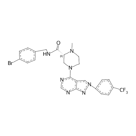 CN1CCN(c2ncnc3nn(-c4ccc(C(F)(F)F)cc4)cc23)C[C@@H]1C(=O)NCc1ccc(Br)cc1